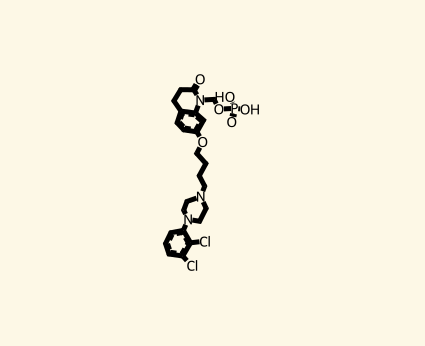 O=C1CCc2ccc(OCCCCN3CCN(c4cccc(Cl)c4Cl)CC3)cc2N1COP(=O)(O)O